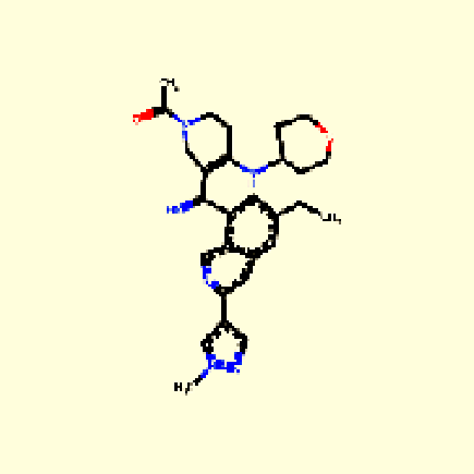 CCc1cc(C(=N)C2=C(NC3CCOCC3)CCN(C(C)=O)C2)c2cnc(-c3cnn(C)c3)cc2c1